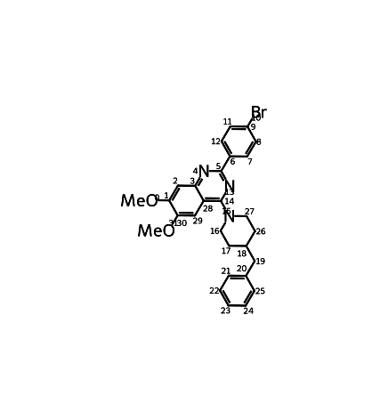 COc1cc2nc(-c3ccc(Br)cc3)nc(N3CCC(Cc4ccccc4)CC3)c2cc1OC